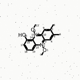 CO[n+]1c2cc(C)c(C)cc2[n+](OC)c2c(O)cccc21